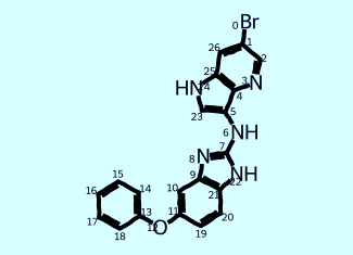 Brc1cnc2c(Nc3nc4cc(Oc5ccccc5)ccc4[nH]3)c[nH]c2c1